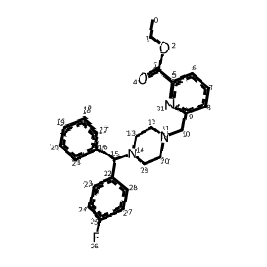 CCOC(=O)c1cccc(CN2CCN(C(c3ccccc3)c3ccc(F)cc3)CC2)n1